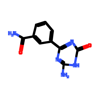 NC(=O)c1cccc(-c2nc(N)[nH]c(=O)n2)c1